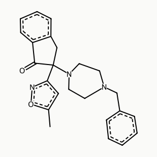 Cc1cc(C2(N3CCN(Cc4ccccc4)CC3)Cc3ccccc3C2=O)no1